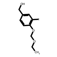 CCOCOc1ccc(CO)cc1I